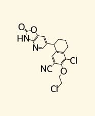 N#Cc1cc2c(c(Cl)c1OCCCl)CCCC2c1cnc2[nH]c(=O)oc2c1